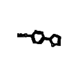 COc1ccc(C2CC=NO2)cc1